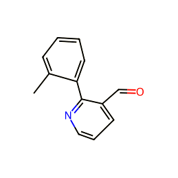 Cc1ccccc1-c1ncccc1C=O